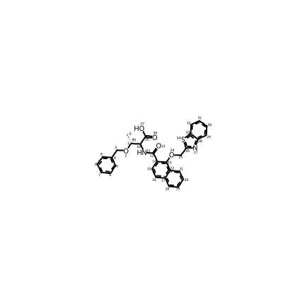 C[C@@H](OCc1ccccc1)C(NC(=O)c1ccc2ccccc2c1OCc1nc2ccccc2s1)C(=O)O